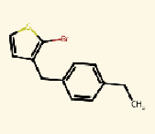 CCc1ccc(Cc2ccsc2Br)cc1